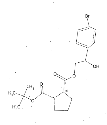 CC(C)(C)OC(=O)N1CCC[C@H]1C(=O)OCC(O)c1ccc(Br)cc1